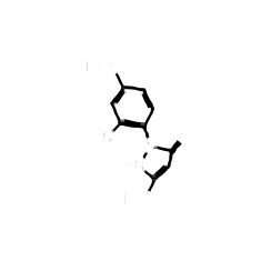 Cc1cc(=O)n(-c2ccc(S(=O)(=O)O)cc2[N+](=O)[O-])[nH]1